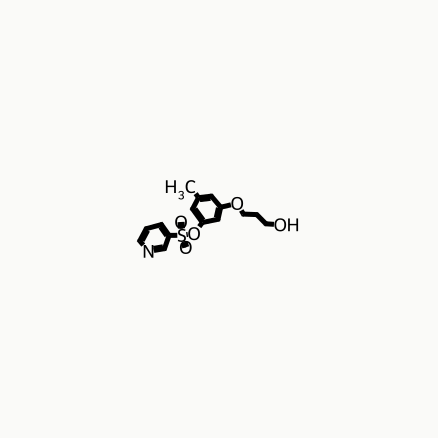 Cc1cc(OCCCO)cc(OS(=O)(=O)c2cccnc2)c1